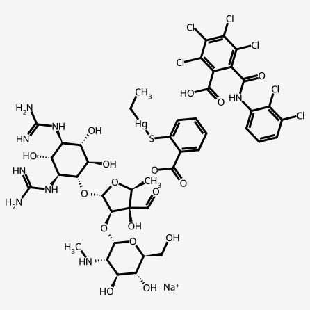 CN[C@@H]1[C@H](O[C@H]2[C@H](O[C@H]3[C@H](O)[C@@H](O)[C@H](NC(=N)N)[C@@H](O)[C@@H]3NC(=N)N)O[C@@H](C)[C@]2(O)C=O)O[C@@H](CO)[C@H](O)[C@H]1O.C[CH2][Hg][S]c1ccccc1C(=O)[O-].O=C(O)c1c(Cl)c(Cl)c(Cl)c(Cl)c1C(=O)Nc1cccc(Cl)c1Cl.[Na+]